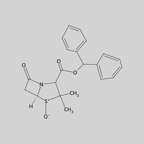 CC1(C)C(C(=O)OC(c2ccccc2)c2ccccc2)N2C(=O)C[C@@H]2[S+]1[O-]